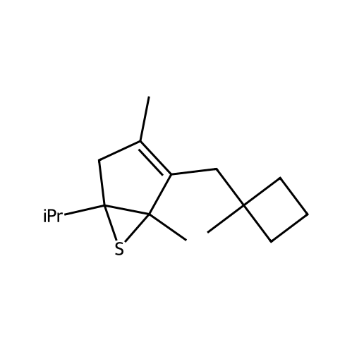 CC1=C(CC2(C)CCC2)C2(C)SC2(C(C)C)C1